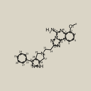 COc1cccc2c1nc(N)n1nc(CCN3Cc4[nH]nc(-c5ccccc5)c4C3)nc21